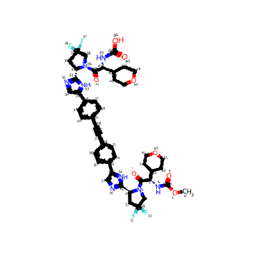 COC(=O)N[C@H](C(=O)N1CC(F)(F)C[C@H]1c1ncc(-c2ccc(C#Cc3ccc(-c4cnc([C@@H]5CC(F)(F)CN5C(=O)[C@H](NC(=O)O)C5CCOCC5)[nH]4)cc3)cc2)[nH]1)C1CCOCC1